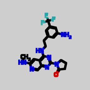 CNc1cc2c(NCCc3cc(N)cc(C(F)(F)F)c3)nc(N3CCCC3=O)nc2cn1